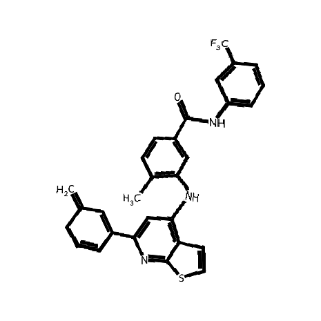 C=C1C=C(c2cc(Nc3cc(C(=O)Nc4cccc(C(F)(F)F)c4)ccc3C)c3ccsc3n2)C=CC1